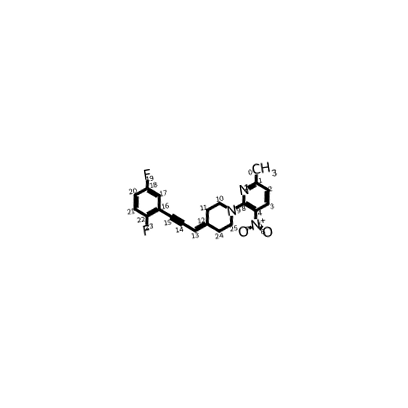 Cc1ccc([N+](=O)[O-])c(N2CCC(=CC#Cc3cc(F)ccc3F)CC2)n1